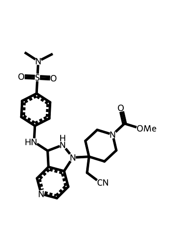 COC(=O)N1CCC(CC#N)(N2NC(Nc3ccc(S(=O)(=O)N(C)C)cc3)c3cnccc32)CC1